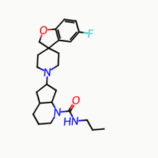 CCCNC(=O)N1CCCC2CC(N3CCC4(CC3)COc3ccc(F)cc34)CC21